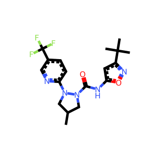 CC1CN(C(=O)Nc2cc(C(C)(C)C)no2)N(c2ccc(C(F)(F)F)cn2)C1